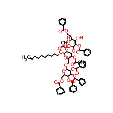 C=CCCCCCCCCOC(O)C(OC(C)=O)C(OC(O)/C(OC(=O)c1ccccc1)=C(/O)C(O)CCOC(=O)c1ccccc1)C(CCOC1OC(COC(=O)c2ccccc2)C(OC(=O)c2ccccc2)C(OC(=O)c2ccccc2)C1OC(=O)c1ccccc1)OC(C)=O